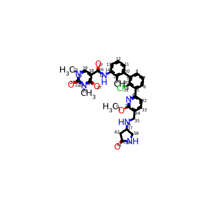 COc1nc(-c2cccc(-c3cccc(NC(=O)c4cn(C)c(=O)n(C)c4=O)c3C)c2Cl)ccc1CNC1CNC(=O)C1